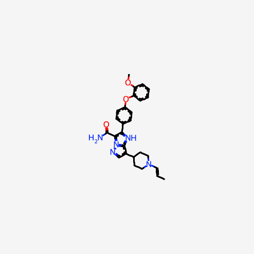 CC=CN1CCC(c2cnn3c(C(N)=O)c(-c4ccc(Oc5ccccc5OC)cc4)[nH]c23)CC1